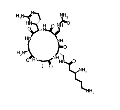 C[C@@H]1NC(=O)[C@@H](N)CNC(=O)[C@H]([C@H]2CCN=C(N)N2)NC(=O)/C(=C\NC(N)=O)NC(=O)[C@H](CNC(=O)C[C@@H](N)CCCN)NC1=O